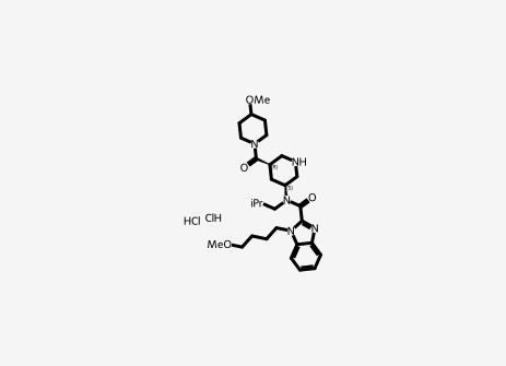 COCCCCn1c(C(=O)N(CC(C)C)[C@@H]2CNC[C@H](C(=O)N3CCC(OC)CC3)C2)nc2ccccc21.Cl.Cl